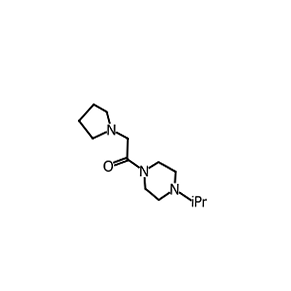 CC(C)N1CCN(C(=O)CN2CCCC2)CC1